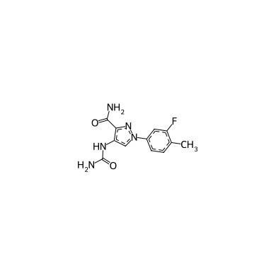 Cc1ccc(-n2cc(NC(N)=O)c(C(N)=O)n2)cc1F